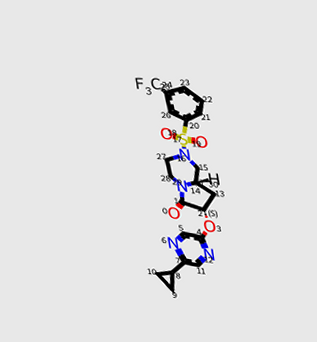 O=C1[C@@H](Oc2cnc(C3CC3)cn2)C[C@H]2CN(S(=O)(=O)c3cccc(C(F)(F)F)c3)CCN12